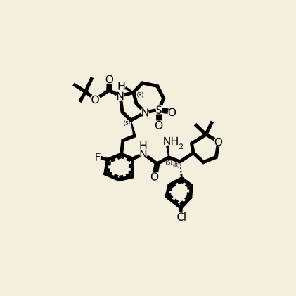 CC(C)(C)OC(=O)N1C[C@H](CCc2c(F)cccc2NC(=O)[C@@H](N)[C@@H](c2ccc(Cl)cc2)C2CCOC(C)(C)C2)N2C[C@H]1CCCS2(=O)=O